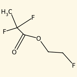 CC(F)(F)C(=O)OCCF